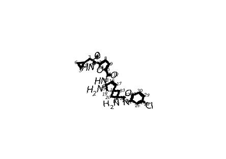 N=S(=O)(CC1CC1)c1ccc(C(=O)N[C@@]2(N)C=C[C@]3(C2)C[C@@](N)(c2nc4cc(Cl)ccc4o2)C3)o1